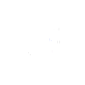 CC1C=Cc2cc([N+](=O)[O-])ccc2N1C.I